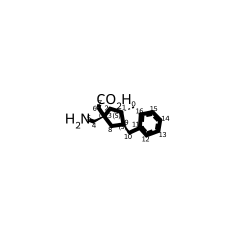 C[C@H]1C[C@@](CN)(CC(=O)O)C[C@@H]1Cc1ccccc1